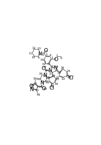 CCOc1cc(C(=O)N2CCCCC2)ccc1C1=N[C@@H](c2ccc(Cl)cc2)[C@@H](c2ccc(Cl)cc2)N1C(=O)N1CCN(C(=O)c2c(C)noc2C)CC1